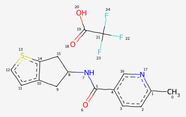 Cc1ccc(C(=O)NC2Cc3ccsc3C2)cn1.O=C(O)C(F)(F)F